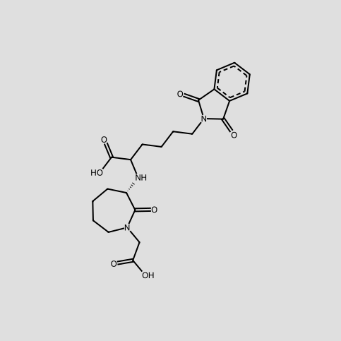 O=C(O)CN1CCCC[C@H](NC(CCCCN2C(=O)c3ccccc3C2=O)C(=O)O)C1=O